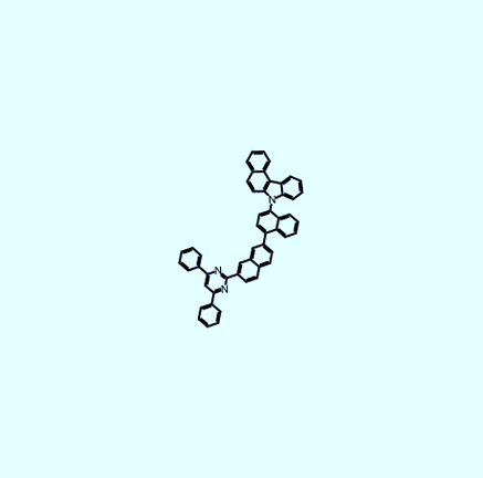 c1ccc(-c2cc(-c3ccccc3)nc(-c3ccc4ccc(-c5ccc(-n6c7ccccc7c7c8ccccc8ccc76)c6ccccc56)cc4c3)n2)cc1